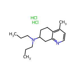 CCCN(CCC)C1CCc2c(C)ccnc2C1.Cl.Cl